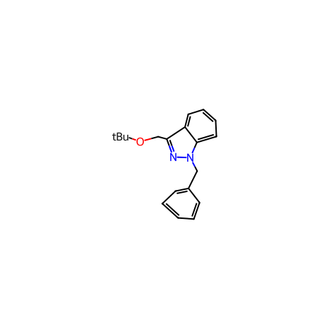 CC(C)(C)OCc1nn(Cc2ccccc2)c2ccccc12